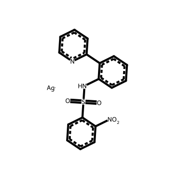 O=[N+]([O-])c1ccccc1S(=O)(=O)Nc1ccccc1-c1ccccn1.[Ag]